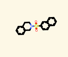 O=S(=O)(c1ccc2ccccc2c1)N1CCc2ccccc2C1